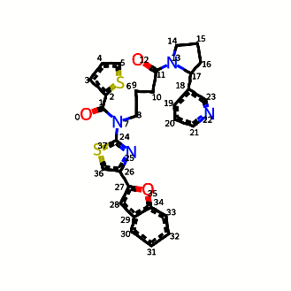 O=C(c1cccs1)N(CCCC(=O)N1CCCC1c1cccnc1)c1nc(-c2cc3ccccc3o2)cs1